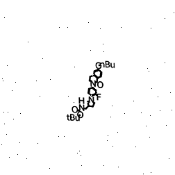 CCCCOc1ccc2c(c1)CCN(c1ccc(N3CCC(CNC(=O)OC(C)(C)C)C3)c(F)c1)C2=O